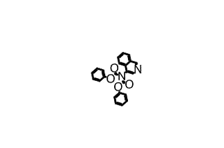 O=C(Oc1ccccc1)N(C(=O)Oc1ccccc1)c1cncc2ccccc12